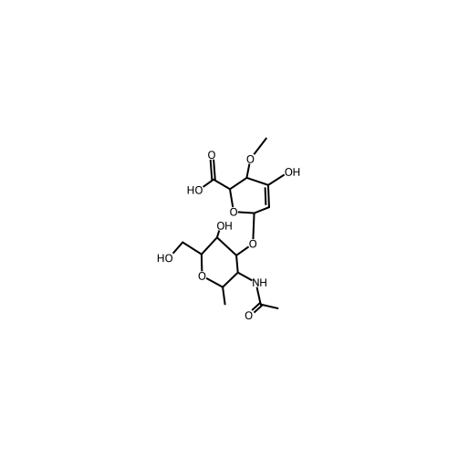 COC1C(O)=CC(OC2C(O)C(CO)OC(C)C2NC(C)=O)OC1C(=O)O